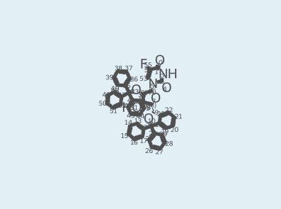 O=c1[nH]c(=O)n([C@@H]2O[C@H](COC(c3ccccc3)(c3ccccc3)c3ccccc3)[C@@H](O)[C@H]2OC(c2ccccc2)(c2ccccc2)c2ccccc2)cc1F